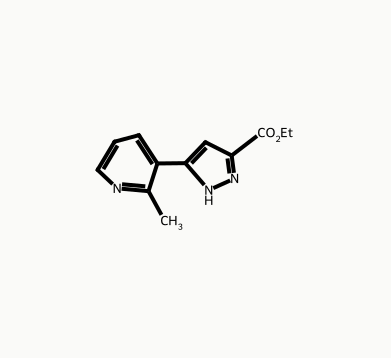 CCOC(=O)c1cc(-c2cccnc2C)[nH]n1